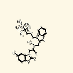 CN(Cc1nc2ccccc2n1CCCC(C)(C)[Si](C)(C)O)C(=O)Cn1c(=O)oc2ccc(Cl)cc21